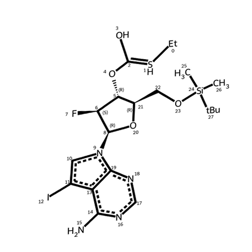 CC[SH]=C(O)O[C@H]1[C@H](F)[C@H](n2cc(I)c3c(N)ncnc32)O[C@@H]1CO[Si](C)(C)C(C)(C)C